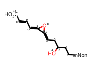 CCCCCCCCCCCC(O)C\C=C1/O/C1=C\C=C\C(=O)O